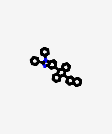 c1c(-c2c3ccccc3c(-c3ccc4ccccc4c3)c3ccccc23)cc2nc(-c3ccccc3)n(-c3ccccc3)c2c#1